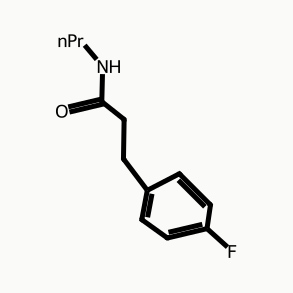 CCCNC(=O)CCc1ccc(F)cc1